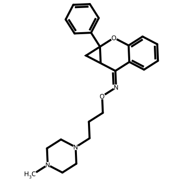 CN1CCN(CCCON=C2c3ccccc3OC3(c4ccccc4)CC23)CC1